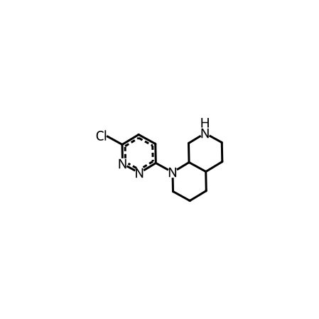 Clc1ccc(N2CCCC3CCNCC32)nn1